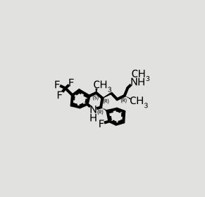 CNC[C@H](C)CC[C@@H]1[C@H](C)c2cc(C(F)(F)F)ccc2N[C@H]1c1ccccc1F